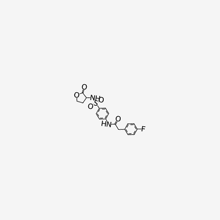 O=C(Cc1ccc(F)cc1)Nc1ccc(S(=O)(=O)NC2CCOC2=O)cc1